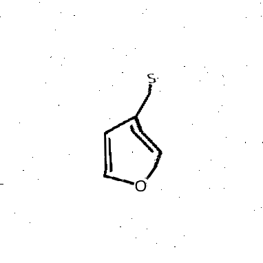 [S]c1ccoc1